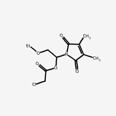 CCOCC(OC(=O)CCl)N1C(=O)C(C)=C(C)C1=O